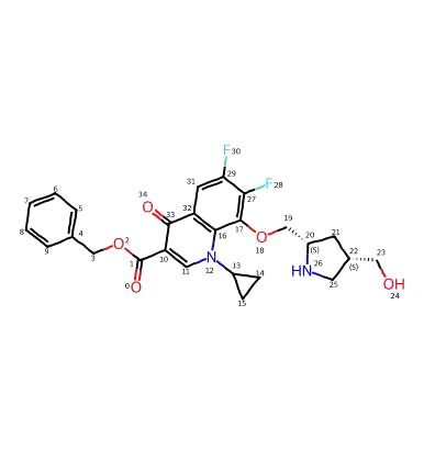 O=C(OCc1ccccc1)c1cn(C2CC2)c2c(OC[C@@H]3C[C@H](CO)CN3)c(F)c(F)cc2c1=O